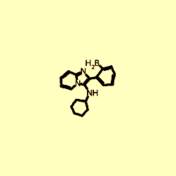 Bc1ccccc1-c1nc2ccccn2c1NC1CCCCC1